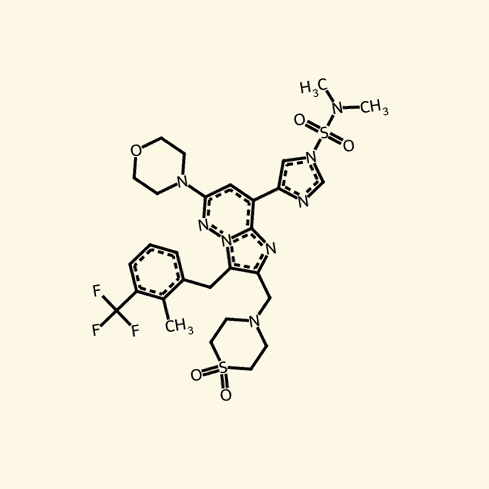 Cc1c(Cc2c(CN3CCS(=O)(=O)CC3)nc3c(-c4cn(S(=O)(=O)N(C)C)cn4)cc(N4CCOCC4)nn23)cccc1C(F)(F)F